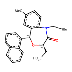 COc1ccc2c(c1)[C@@H](c1cccc3ccccc13)O[C@H](CC(=O)O)C(=O)N2CC(C)(C)C